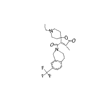 CCN1CCC2(CC1)OC(=O)C(C)=C2C(=O)N1CCc2ccc(C(F)(F)F)cc2C1